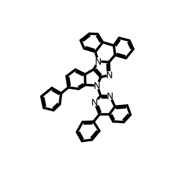 c1ccc(-c2ccc3c(c2)n(-c2nc(-c4ccccc4)c4ccccc4n2)c2nc4c5ccccc5c5ccccc5n4c32)cc1